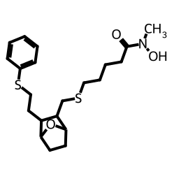 CN(O)C(=O)CCCCSCC1C2CCC(O2)C1CCSc1ccccc1